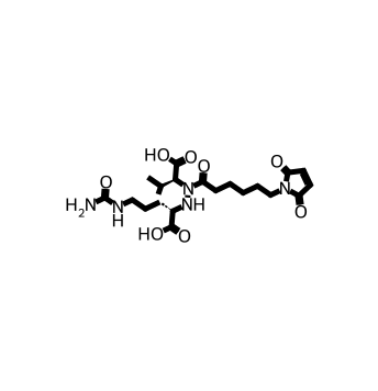 CC(C)[C@@H](C(=O)O)N(N[C@@H](CCCNC(N)=O)C(=O)O)C(=O)CCCCCN1C(=O)C=CC1=O